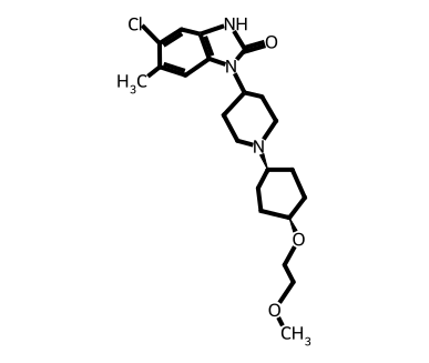 COCCO[C@H]1CC[C@@H](N2CCC(n3c(=O)[nH]c4cc(Cl)c(C)cc43)CC2)CC1